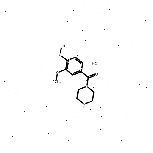 COc1ccc(C(=O)N2CCNCC2)cc1OC.Cl